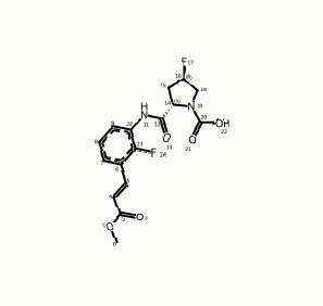 COC(=O)C=Cc1cccc(NC(=O)[C@@H]2C[C@@H](F)CN2C(=O)O)c1F